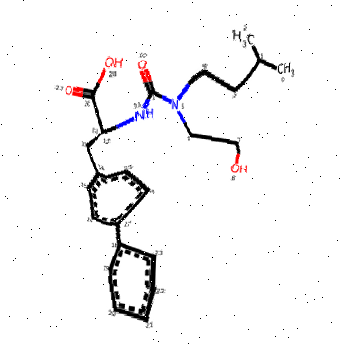 CC(C)CCN(CCO)C(=O)N[C@@H](Cc1ccc(-c2ccccc2)cc1)C(=O)O